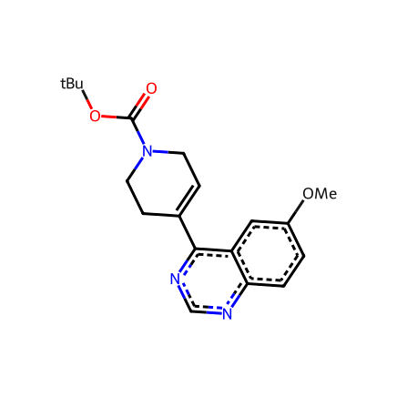 COc1ccc2ncnc(C3=CCN(C(=O)OC(C)(C)C)CC3)c2c1